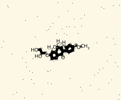 COSc1ccc2c3c([nH]c2c1)C(C)(C)c1cc(OC[C@H](O)CO)ccc1C3=O